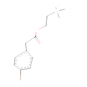 C[Si](C)(C)CCOC(=O)Cc1ccc(Br)cc1